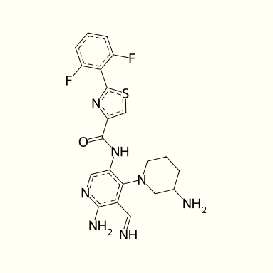 N=Cc1c(N)ncc(NC(=O)c2csc(-c3c(F)cccc3F)n2)c1N1CCCC(N)C1